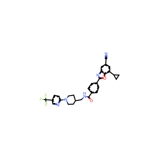 N#Cc1cc(C2CC2)c2oc(-c3ccc(C(=O)NCC4CCN(c5ccc(C(F)(F)F)cn5)CC4)cc3)nc2c1